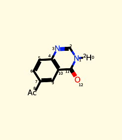 [2H]n1cnc2ccc(C(C)=O)cc2c1=O